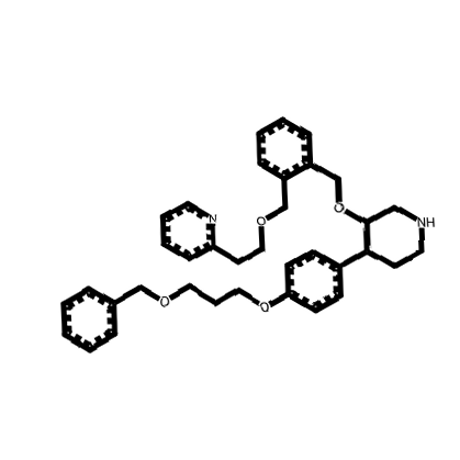 c1ccc(COCCCOc2ccc(C3CCNCC3OCc3ccccc3COCCc3ccccn3)cc2)cc1